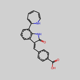 O=C1Nc2c(C3=CC=CC=CN3)cccc2C1=Cc1ccc(C(=O)O)cc1